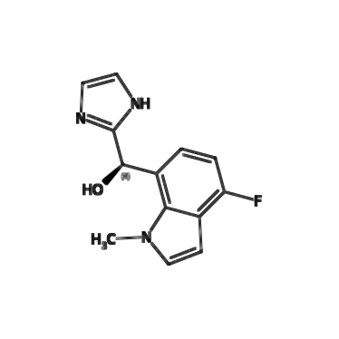 Cn1ccc2c(F)ccc([C@@H](O)c3ncc[nH]3)c21